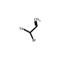 C=CC(Br)[Te]